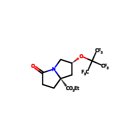 CCOC(=O)[C@]12CCC(=O)N1C[C@H](OC(C(F)(F)F)(C(F)(F)F)C(F)(F)F)C2